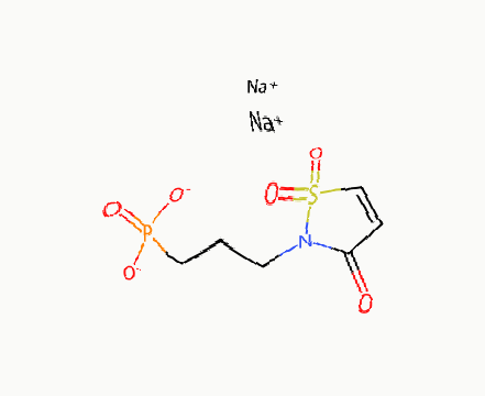 O=C1C=CS(=O)(=O)N1CCCP(=O)([O-])[O-].[Na+].[Na+]